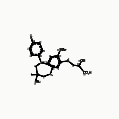 CCCCC1(C)CSc2cc(OCC(O)C(=O)O)c(SC)cc2N(c2ccc(F)cc2)C1